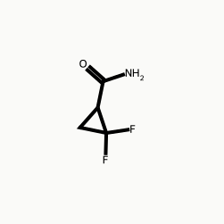 NC(=O)C1CC1(F)F